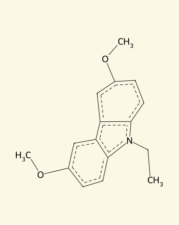 CCn1c2ccc(OC)cc2c2cc(OC)ccc21